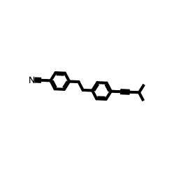 CC(C)C#Cc1ccc(CCc2ccc(C#N)cc2)cc1